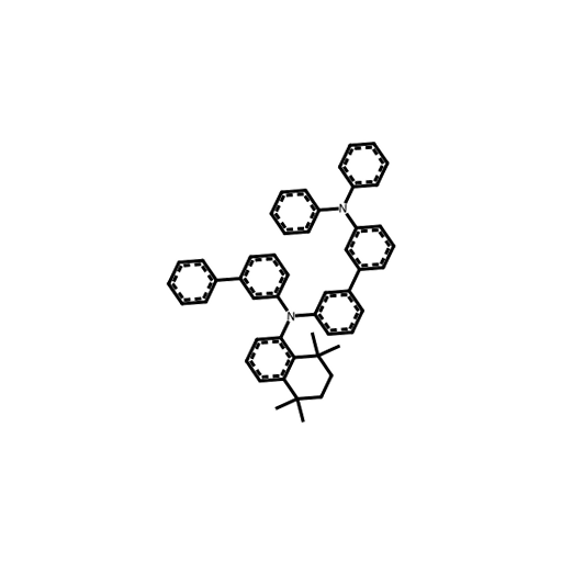 CC1(C)CCC(C)(C)c2c(N(c3cccc(-c4ccccc4)c3)c3cccc(-c4cccc(N(c5ccccc5)c5ccccc5)c4)c3)cccc21